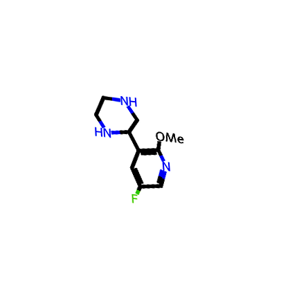 COc1ncc(F)cc1C1CNCCN1